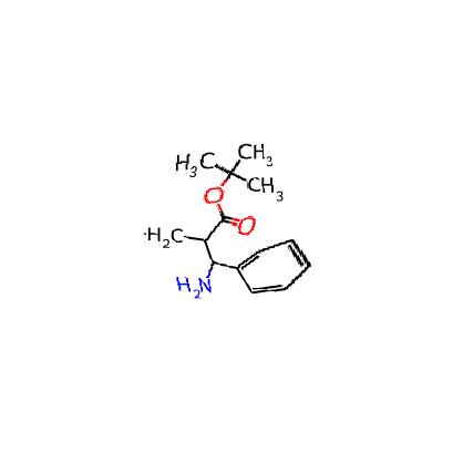 [CH2]C(C(=O)OC(C)(C)C)C(N)c1ccccc1